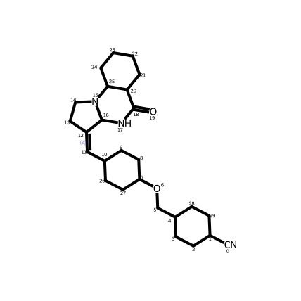 N#CC1CCC(COC2CCC(/C=C3/CCN4C3NC(=O)C3CCCCC34)CC2)CC1